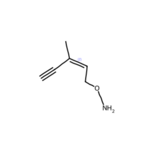 C#C/C(C)=C\CON